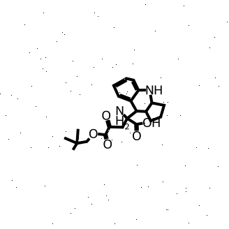 CC(C)(C)COC(=O)C(=O)CC(N)(C(=O)O)C1c2ccccc2NC2CCCC21